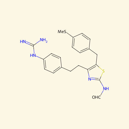 CSc1ccc(Cc2sc(NC=O)nc2CCc2ccc(NC(=N)N)cc2)cc1